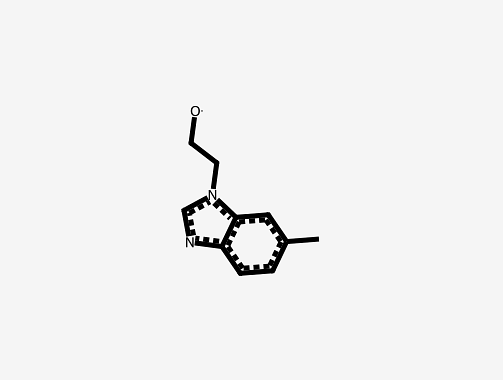 Cc1ccc2ncn(CC[O])c2c1